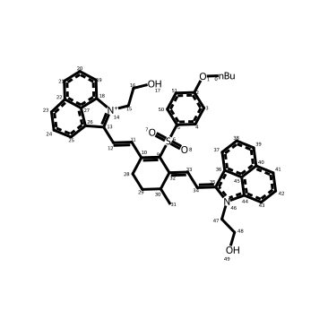 CCCCOc1ccc(S(=O)(=O)C2=C(/C=C/C3=[N+](CCO)c4cccc5cccc3c45)CCC(C)/C2=C\C=c2/c3cccc4cccc(c43)n2CCO)cc1